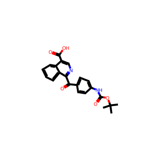 CC(C)(C)OC(=O)Nc1ccc(C(=O)c2ncc(C(=O)O)c3ccccc23)cc1